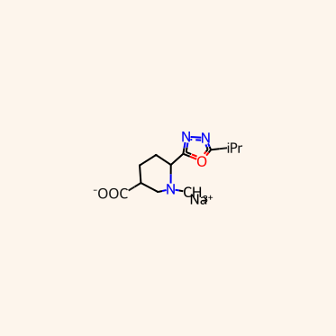 CC(C)c1nnc(C2CCC(C(=O)[O-])CN2C)o1.[Na+]